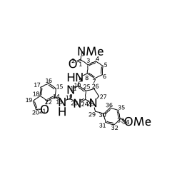 CNC(=O)c1ccccc1Nc1nc(Nc2cccc3ccoc23)nc2c1CCN2Cc1ccc(OC)cc1